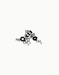 Cc1ccc(S(=O)(=O)N2C=CNC(=O)[C@H]2CC(=O)N[C@@H]2CC[C@H](O)CC2(C)C)cc1